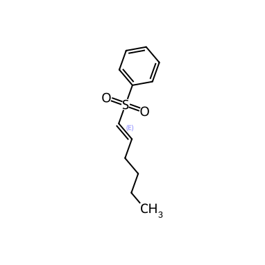 CCCC/C=C/S(=O)(=O)c1ccccc1